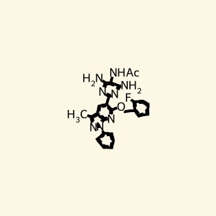 CC(=O)Nc1c(N)nc(-c2cc3c(C)nn(-c4ccccc4)c3nc2OCc2ccccc2F)nc1N